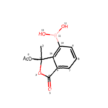 CC(=O)OC1(C)OC(=O)c2cccc(B(O)O)c21